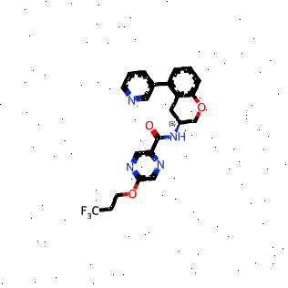 O=C(N[C@@H]1COc2cccc(-c3cccnc3)c2C1)c1cnc(OCCC(F)(F)F)cn1